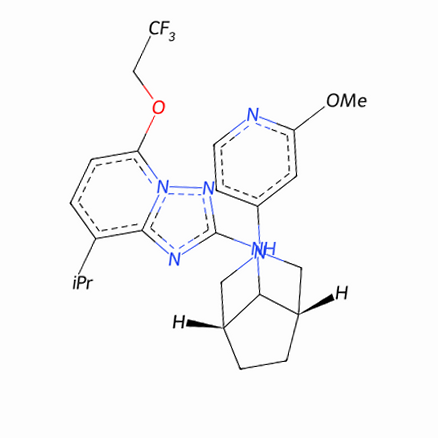 COc1cc(N2C[C@H]3CC[C@@H](C2)C3Nc2nc3c(C(C)C)ccc(OCC(F)(F)F)n3n2)ccn1